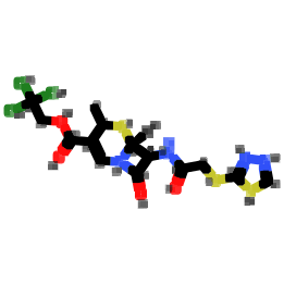 CC1S[C@@H]2C(NC(=O)CSc3nncs3)C(=O)N2C=C1C(=O)OCC(Cl)(Cl)Cl